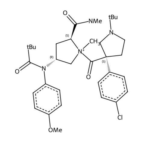 CNC(=O)[C@@H]1C[C@@H](N(C(=O)C(C)(C)C)c2ccc(OC)cc2)C[N+]1(C)C(=O)[C@]1(c2ccc(Cl)cc2)CCN(C(C)(C)C)C1